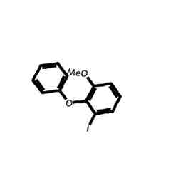 COc1cccc(I)c1Oc1ccccc1